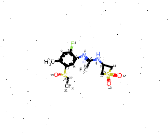 Cc1cc(F)c(/N=C(/NC2CS(=O)(=O)C2)C(F)(F)F)cc1[S+]([O-])CC(F)(F)F